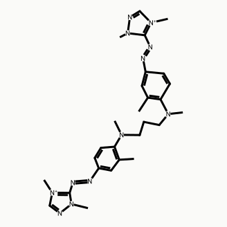 Cc1cc(N=Nc2n(C)nc[n+]2C)ccc1N(C)CCCN(C)c1ccc(N=Nc2n(C)nc[n+]2C)cc1C